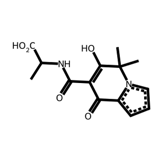 CC(NC(=O)C1=C(O)C(C)(C)n2cccc2C1=O)C(=O)O